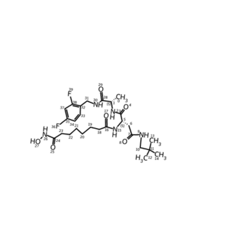 C[C@H](NC(=O)[C@H](CC(=O)NCC(C)(C)C)NC(=O)CCCCCCC(=O)NO)C(=O)NCc1ccc(F)cc1F